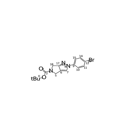 CC(C)(C)OC(=O)N1Cc2cn(-c3ccc(Br)cc3)nc2C1